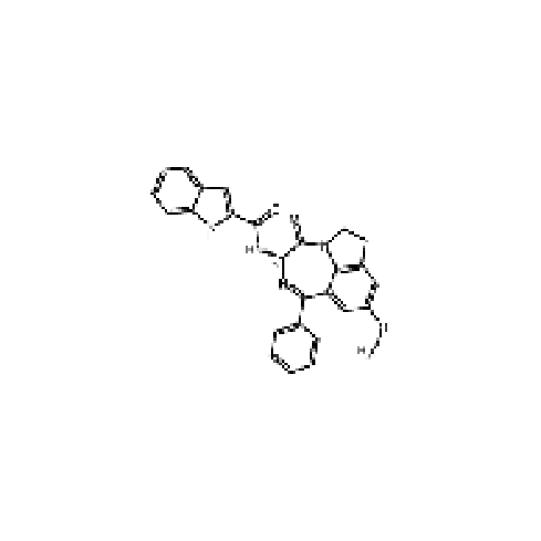 COc1cc2c3c(c1)C(c1ccccc1)=N[C@@H](NC(=O)c1cc4ccccc4[nH]1)C(=O)N3CC2